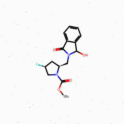 CC(C)(C)OC(=O)N1C[C@@H](F)C[C@H]1CN1C(=O)c2ccccc2C1O